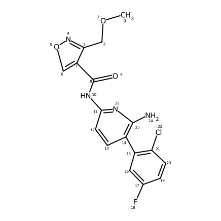 COCc1nocc1C(=O)Nc1ccc(-c2cc(F)ccc2Cl)c(N)n1